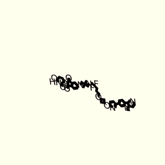 Cn1c2ccncc2c2ccc(-c3ccc(O[C@H]4C[C@H](OCCCC(F)(F)CN5CC6(C5)CN(c5ccc7c(c5)C(=O)N(C5CCC(=O)NC5=O)C7=O)C6)C4)nc3)cc21